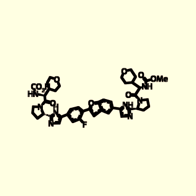 COC(=O)N[C@H](C(=O)N1CCC[C@H]1c1ncc(-c2ccc3oc(-c4ccc(-c5cnc([C@@H]6CCCN6C(=O)[C@@H](NC(=O)O)C6CCOCC6)[nH]5)cc4F)cc3c2)[nH]1)C1CCOCC1